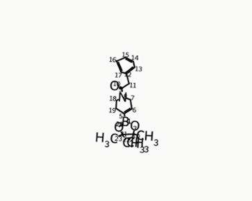 CC1(C)OB(C2=CCN(C(=O)Cc3ccccc3)CC2)OC1(C)C